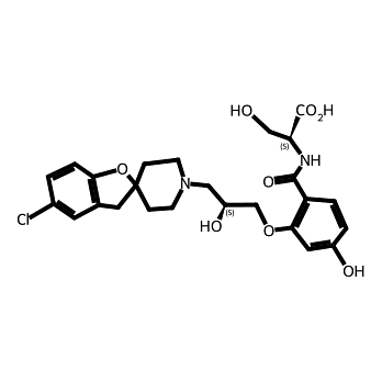 O=C(N[C@@H](CO)C(=O)O)c1ccc(O)cc1OC[C@@H](O)CN1CCC2(CC1)Cc1cc(Cl)ccc1O2